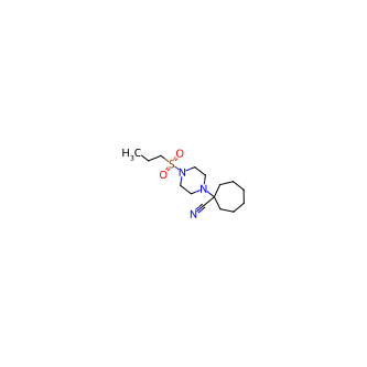 CCCS(=O)(=O)N1CCN(C2(C#N)CCCCCC2)CC1